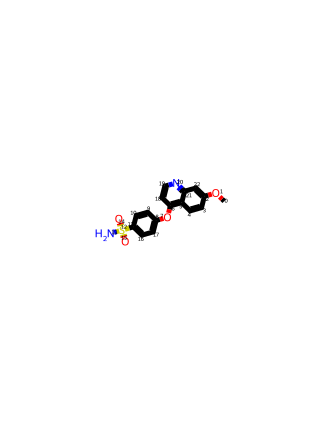 COc1ccc2c(Oc3ccc(S(N)(=O)=O)cc3)ccnc2c1